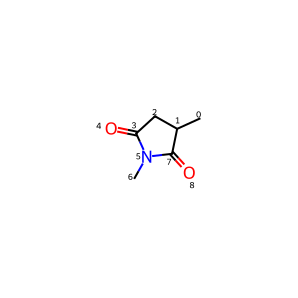 CC1CC(=O)N(C)C1=O